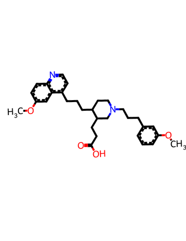 COc1cccc(CCCN2CCC(CCCc3ccnc4ccc(OC)cc34)C(CCC(=O)O)C2)c1